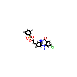 Cc1ccc(S(=O)(=O)OCCc2ccc3c(c2)NC(=O)c2ccc(Cl)cc2N3)cc1